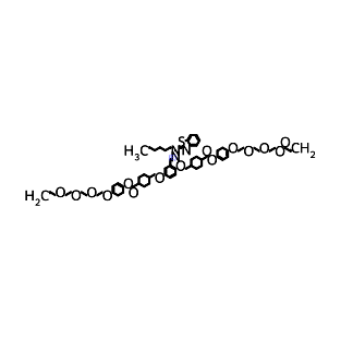 C=CCOCCOCCOCCOC1=CC=C(OC(=O)C2CCC(COc3ccc(OCC4CCC(C(=O)OC5=CC=C(OCCOCCOCCOC(=O)C=C)CC5)CC4)c(/C=N/N(CCCCCC)c4nc5ccccc5s4)c3)CC2)CC1